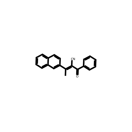 C/C(=C(/C#N)C(=O)c1ccccc1)c1ccc2ccccc2c1